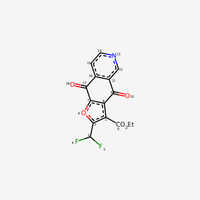 CCOC(=O)c1c(C(F)F)oc2c1C(=O)c1cnccc1C2=O